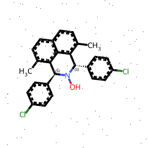 Cc1ccc2ccc(C)c3c2c1[C@H](c1ccc(Cl)cc1)N(O)[C@H]3c1ccc(Cl)cc1